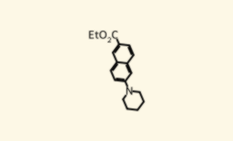 CCOC(=O)c1ccc2cc(N3CCCCC3)ccc2c1